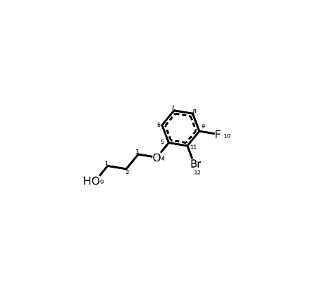 OCCCOc1cccc(F)c1Br